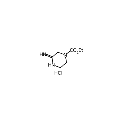 CCOC(=O)N1CCNC(=N)C1.Cl